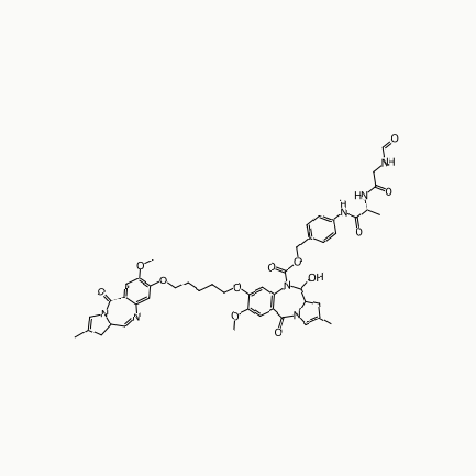 COc1cc2c(cc1OCCCCCOc1cc3c(cc1OC)C(=O)N1C=C(C)CC1C(O)N3C(=O)OCc1ccc(NC(=O)C(C)NC(=O)CNC=O)cc1)N=CC1CC(C)=CN1C2=O